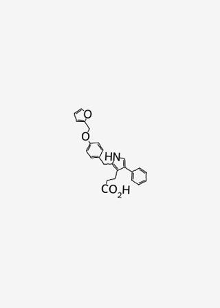 O=C(O)CCc1c(-c2ccccc2)c[nH]c1Cc1ccc(OCc2ccco2)cc1